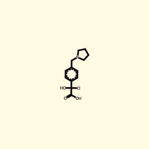 O=C(O)C(O)(Cl)c1ccc(CN2CCCC2)cc1